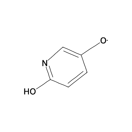 [O]c1ccc(O)nc1